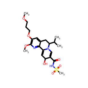 COCCCOc1cc2c(nc1OC)C1=CC(O)C(C(=O)NS(C)(=O)=O)=CN1C(C(C)C)C2